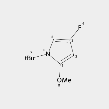 COc1cc(F)cn1C(C)(C)C